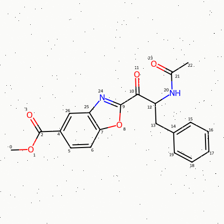 COC(=O)c1ccc2oc(C(=O)C(Cc3ccccc3)NC(C)=O)nc2c1